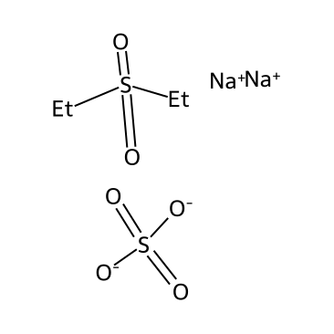 CCS(=O)(=O)CC.O=S(=O)([O-])[O-].[Na+].[Na+]